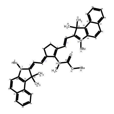 CCCCN1/C(=C/C=C2\CCC(/C=C/C3=[N+](CCCC)c4ccc5ccccc5c4C3(C)C)=C2N(C)C(=O)OC(C)(C)C)C(C)(C)c2c1ccc1ccccc21